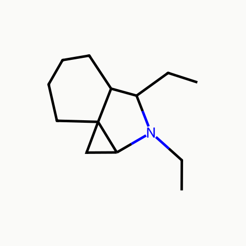 CCC1C2CCCCC23CC3N1CC